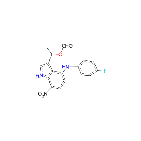 CC(OC=O)c1c[nH]c2c([N+](=O)[O-])ccc(Nc3ccc(F)cc3)c12